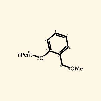 CCCCCOc1ccccc1COC